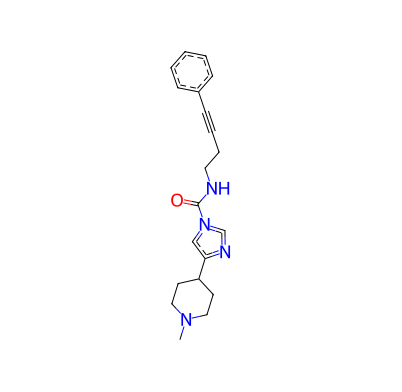 CN1CCC(c2cn(C(=O)NCCC#Cc3ccccc3)cn2)CC1